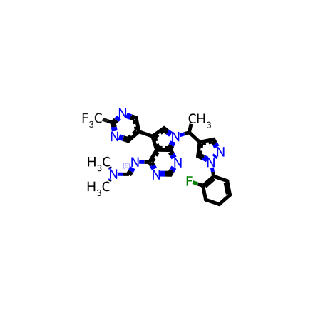 CC(c1cnn(C2=C(F)CCC=C2)c1)n1cc(-c2cnc(C(F)(F)F)nc2)c2c(/N=C/N(C)C)ncnc21